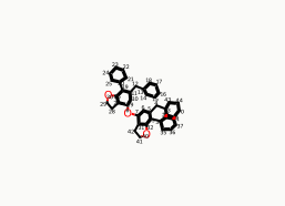 c1ccc(Cc2cc(Oc3cc(Cc4ccccc4)c(-c4ccccc4)c4c3CCO4)c3c(c2-c2ccccc2)OCC3)cc1